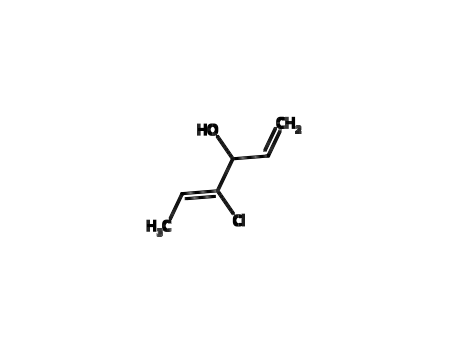 C=CC(O)C(Cl)=CC